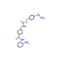 Nc1ccccc1NC(=O)c1ccc(CNC(=O)OCc2ccc([C@H]3C[C@@H]3N)cc2)cc1